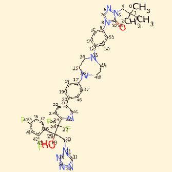 CC(C)(C)Cn1ncn(-c2ccc(N3CCN(c4ccc(-c5ccc(C(F)(F)C(O)(Cn6cnnn6)c6ccc(F)cc6F)nc5)cc4)CC3)cc2)c1=O